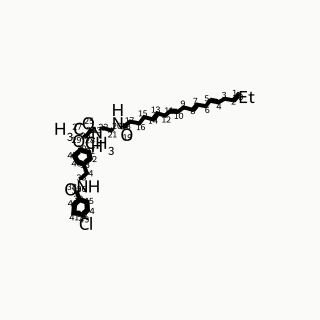 CCC=CCC=CCC=CCC=CCC=CCCCC(=O)NCCNC(=O)C(C)(C)Oc1ccc(CCNC(=O)c2ccc(Cl)cc2)cc1